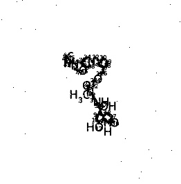 CN(CCNCC(O)c1ccc(O)c2[nH]c(=O)ccc12)C(=O)CCOCCc1cccc(CN2CCC3(CC2)CN(c2nccs2)CCO3)c1